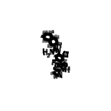 N[C@H](Nc1cc(F)c(S(=O)(=O)Nc2nccs2)cc1Cl)c1ccc2ccccc2c1